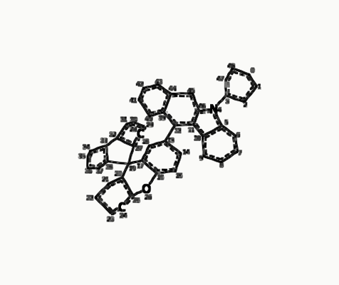 c1ccc(-n2c3ccccc3c3c(-c4ccc5c(c4)C4(c6ccccc6O5)c5ccccc5-c5ccccc54)c4ccccc4cc32)cc1